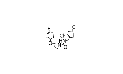 O=C(NCc1ccc(Cl)cc1Cl)N1CCC(Oc2ccc(F)cc2)C1